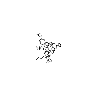 CCCCC(CC)COC(=O)C(O)(C1OCC(=O)CO1)C(O)(c1ccc(OC)cc1)c1ccc(OC)cc1